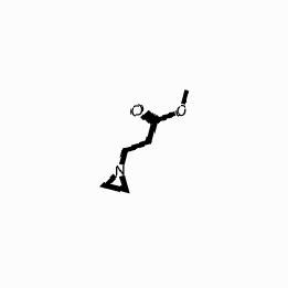 COC(=O)CCN1CC1